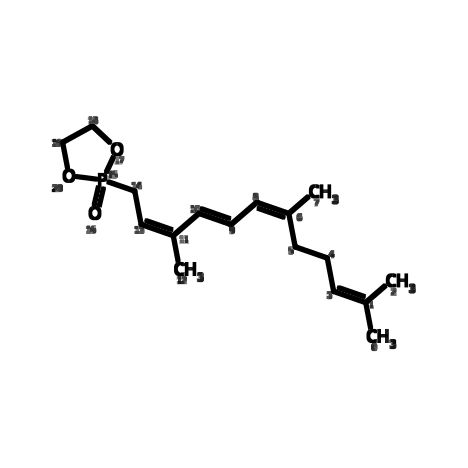 CC(C)=CCCC(C)=CC=CC(C)=CCP1(=O)OCCO1